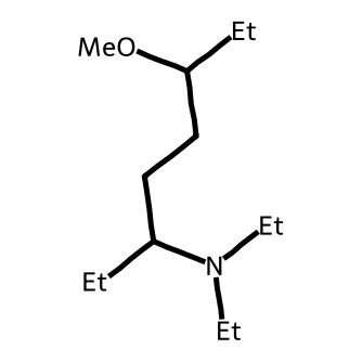 CCC(CCC(CC)N(CC)CC)OC